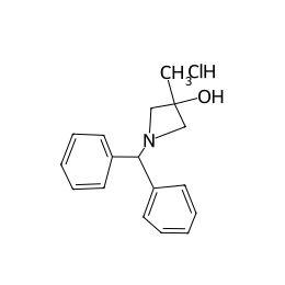 CC1(O)CN(C(c2ccccc2)c2ccccc2)C1.Cl